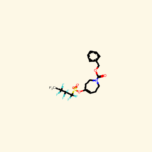 O=C(OCc1ccccc1)N1CCC=C(OS(=O)(=O)C(F)(F)C(F)(F)C(F)(F)C(F)(F)F)CC1